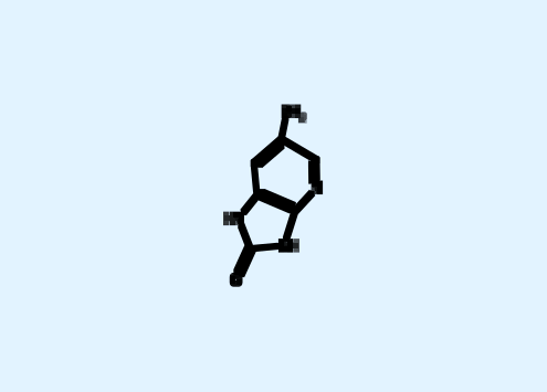 Bc1cnc2[nH]c(=O)[nH]c2c1